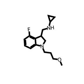 COCCCN1CC(CNC2CC2)c2c(F)cccc21